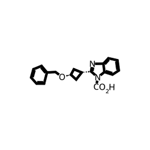 O=C(O)n1c2ccccc2nc1[C@H]1C[C@@H](OCc2ccccc2)C1